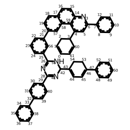 C1=CCC(c2cc(-c3ccccc3)nc3ccc4ccc(-c5cccc(C6=NC(c7ccc(-c8ccccc8)cc7)=NC(C7=CC=C(c8ccccc8)CC7)N6)c5)cc4c23)C=C1